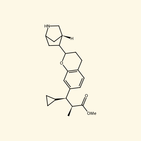 COC(=O)[C@@H](C)[C@H](c1ccc2c(c1)OC(C1CC3C[C@@H]1CN3)CC2)C1CC1